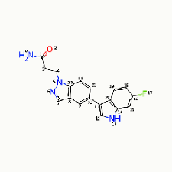 NC(=O)CCn1ncc2cc(-c3c[nH]c4cc(F)ccc34)ccc21